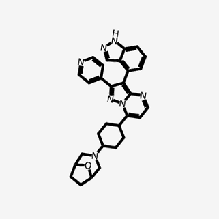 c1cc(-c2c(-c3ccncc3)nn3c(C4CCC(N5CC6CCC(C5)O6)CC4)ccnc23)c2cn[nH]c2c1